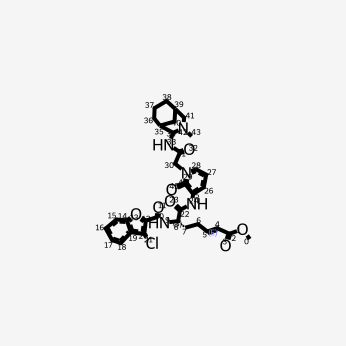 COC(=O)/C=C/CC[C@H](NC(=O)c1oc2ccccc2c1Cl)C(=O)Nc1cccn(CC(=O)NC2C3CCCC(C3)CN2C)c1=O